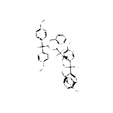 COc1ccc(C(O)(c2ccc(OC)cc2)[C@@H](Cc2ccccc2)NC(=O)C(C)(C)C(=O)N[C@H](Cc2ccccc2)C(O)(c2ccc(OC)cc2)c2ccc(OC)cc2)cc1